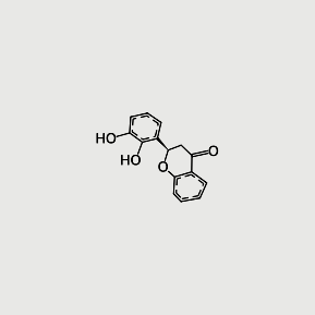 O=C1C[C@H](c2cccc(O)c2O)Oc2ccccc21